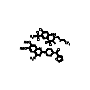 CN1C(CSCC(F)(F)F)Nc2cc(Cl)c(S(N)(=O)=O)cc2S1(=O)=O.COc1cc2nc(N3CCN(C(=O)c4ccco4)CC3)nc(N)c2cc1OC